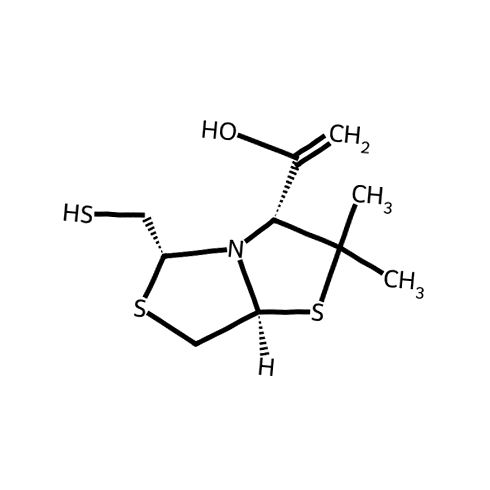 C=C(O)[C@H]1N2[C@H](CS[C@@H]2CS)SC1(C)C